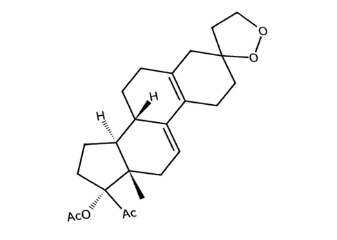 CC(=O)O[C@]1(C(C)=O)CC[C@H]2[C@@H]3CCC4=C(CCC5(CCOO5)C4)C3=CC[C@@]21C